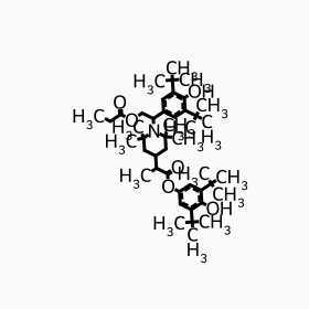 CCC(=O)OCC(c1cc(C(C)(C)C)c(O)c(C(C)(C)C)c1)N1C(C)(C)CC(C(C)C(=O)Oc2cc(C(C)(C)C)c(O)c(C(C)(C)C)c2)CC1(C)C